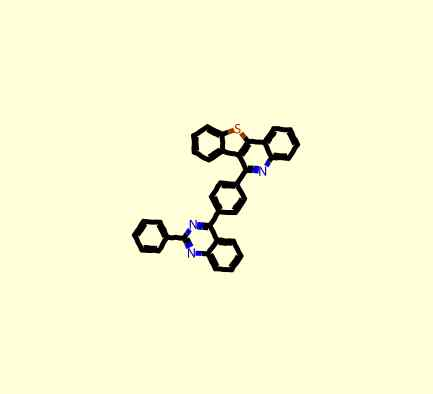 c1ccc(-c2nc(-c3ccc(-c4nc5ccccc5c5sc6ccccc6c45)cc3)c3ccccc3n2)cc1